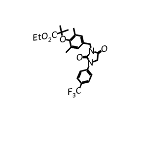 CCOC(=O)C(C)(C)Oc1c(C)cc(CN2C(=O)CN(c3ccc(C(F)(F)F)cc3)C2=O)cc1C